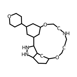 C1CNCCOC2CC(C3CCOCC3)CC(C2)C2NNC3CCC(CC32)OC1